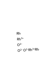 [O-2].[O-2].[O-2].[Rh+3].[Rh+3].[Rh].[Rh]